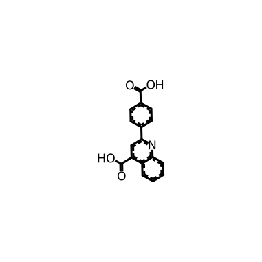 O=C(O)c1ccc(-c2cc(C(=O)O)c3ccccc3n2)cc1